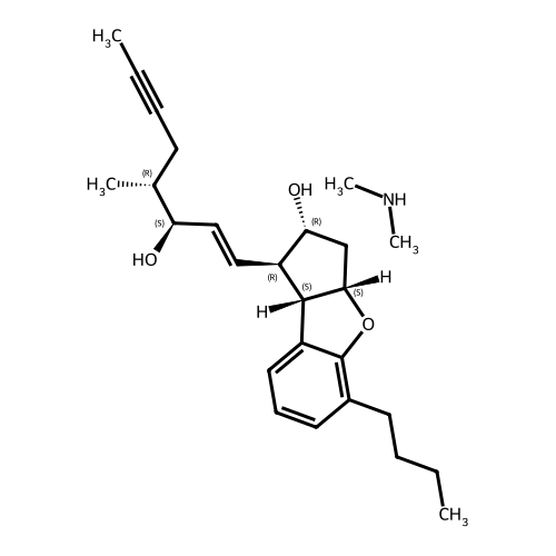 CC#CC[C@@H](C)[C@H](O)C=C[C@@H]1[C@H]2c3cccc(CCCC)c3O[C@H]2C[C@H]1O.CNC